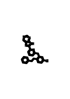 Clc1ccc(CCc2ccccc2)c(Cc2cccc(-c3nc4cncnc4[nH]3)n2)c1